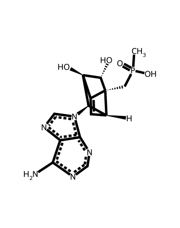 CP(=O)(O)C[C@@]12C3=C[C@@H]1[C@@H](n1cnc4c(N)ncnc41)[C@@]3(O)[C@@H]2O